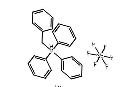 [F][Sb-]([F])([F])([F])([F])[F].[H+].c1ccc(C[PH](c2ccccc2)(c2ccccc2)c2ccccc2)cc1